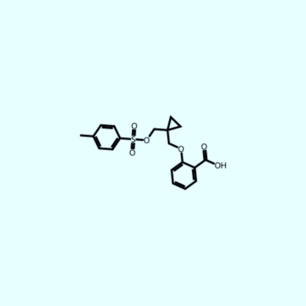 Cc1ccc(S(=O)(=O)OCC2(COc3ccccc3C(=O)O)CC2)cc1